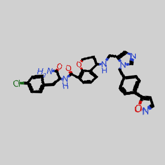 NC(=O)C(Cc1ccc(Cl)cc1)NC(=O)c1cccc2c1OCCC2NCc1cncn1Cc1ccc(-c2ccno2)cc1